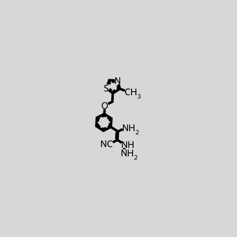 Cc1ncsc1COc1cccc(/C(N)=C(\C#N)NN)c1